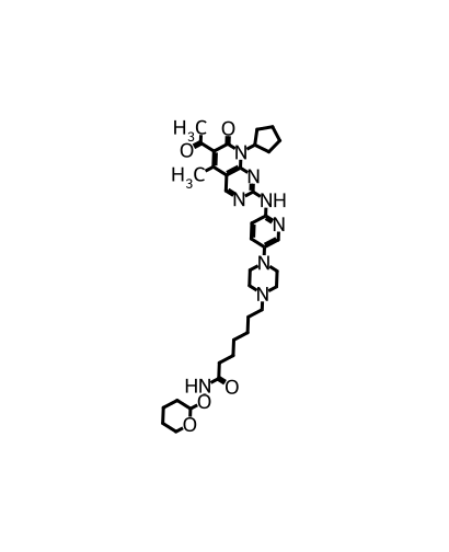 CC(=O)c1c(C)c2cnc(Nc3ccc(N4CCN(CCCCCCC(=O)NOC5CCCCO5)CC4)cn3)nc2n(C2CCCC2)c1=O